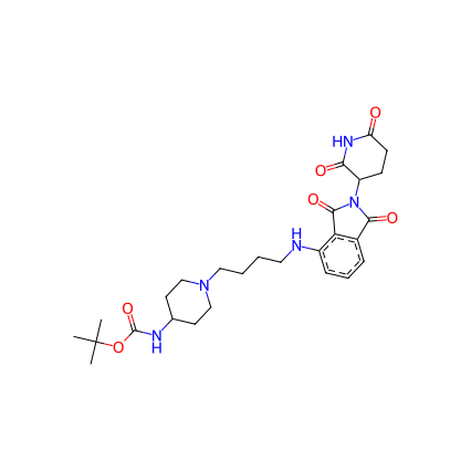 CC(C)(C)OC(=O)NC1CCN(CCCCNc2cccc3c2C(=O)N(C2CCC(=O)NC2=O)C3=O)CC1